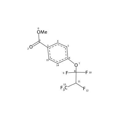 COC(=O)c1ccc(OC(F)(F)C(F)C(F)(F)F)cc1